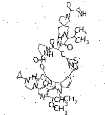 CCn1c(-c2cc(N3CCN(C4CC4)CC3)cnc2[C@H](C)OC)c2c3cc(ccc31)-c1csc(n1)C[C@H](NC(=O)[C@H](C(C)C)N1CC[C@]3(CCN(C(=O)[C@H]4CN4)C3)C1)C(=O)N1CCC[C@H](N1)C(=O)OCC(C)(C)C2